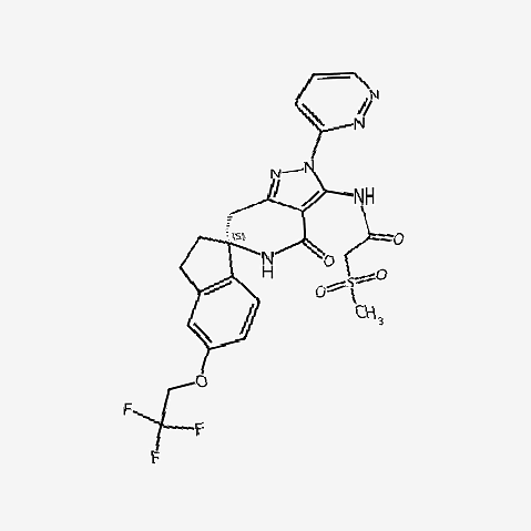 CS(=O)(=O)CC(=O)Nc1c2c(nn1-c1cccnn1)C[C@]1(CCc3cc(OCC(F)(F)F)ccc31)NC2=O